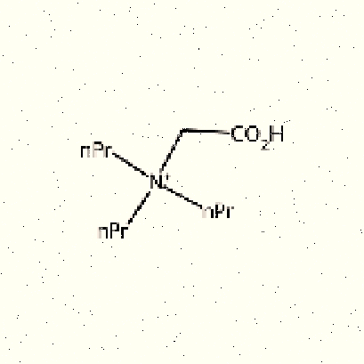 CCC[N+](CCC)(CCC)CC(=O)O